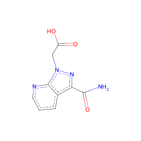 NC(=O)c1nn(CC(=O)O)c2ncccc12